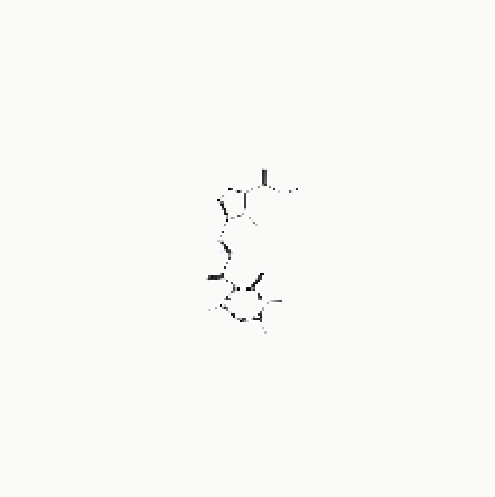 COC(=O)C1CC=C(/C=C/C(=O)c2c(O)cc(C)n(C)c2=O)N1C